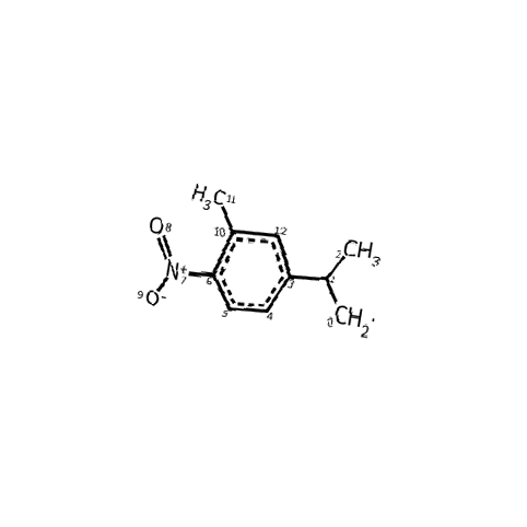 [CH2]C(C)c1ccc([N+](=O)[O-])c(C)c1